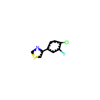 Fc1cc(-c2cscn2)ccc1Cl